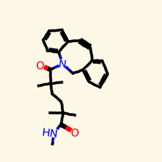 CNC(=O)C(C)(C)CCC(C)(C)C(=O)N1Cc2ccccc2C#Cc2ccccc21